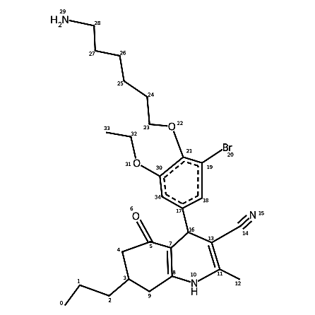 CCCC1CC(=O)C2=C(C1)NC(C)=C(C#N)C2c1cc(Br)c(OCCCCCCN)c(OCC)c1